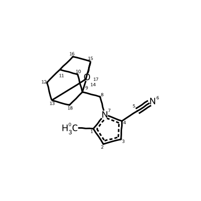 Cc1ccc(C#N)n1CC12CC3CC(CC(C3)O1)C2